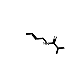 C/C=C/CNC(=O)C(C)C